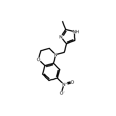 Cc1nc(CN2CCOc3ccc([N+](=O)[O-])cc32)c[nH]1